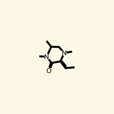 C/C=C1/C(=O)N(C)C(C)CN1C